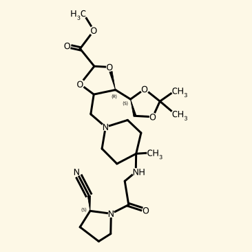 COC(=O)C1OC(CN2CCC(C)(NCC(=O)N3CCC[C@H]3C#N)CC2)[C@H]([C@@H]2COC(C)(C)O2)O1